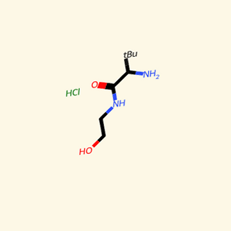 CC(C)(C)C(N)C(=O)NCCO.Cl